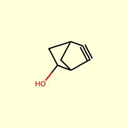 OC1CC2C#CC1C2